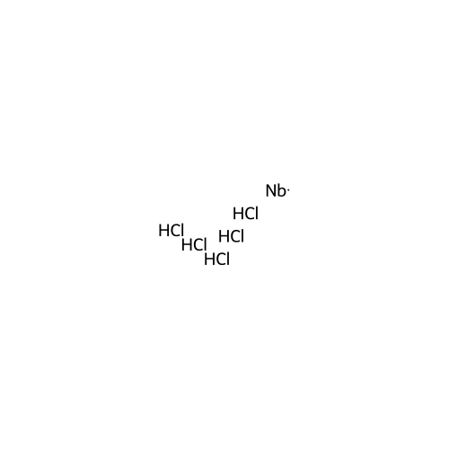 Cl.Cl.Cl.Cl.Cl.[Nb]